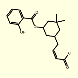 CC1(C)CC(C/C=C\C(=O)Cl)CC(OC(=O)c2ccccc2O)C1